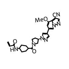 C=CC(=O)NC1CCC(C(=O)N2CC[C@@H](n3cc(-c4cc(OC)c5c(C#N)cnn5c4)cn3)C2)CC1